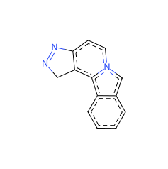 c1ccc2c(c1)cn1ccc3c(c21)CN=N3